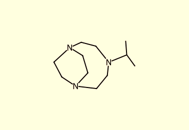 CC(C)N1CCN2CCN(CC2)CC1